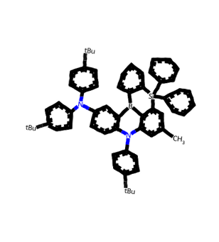 Cc1cc2c3c(c1)[Si](c1ccccc1)(c1ccccc1)c1ccccc1B3c1cc(N(c3ccc(C(C)(C)C)cc3)c3ccc(C(C)(C)C)cc3)ccc1N2c1ccc(C(C)(C)C)cc1